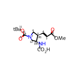 COC(=O)C=C[C@@H]1CN(C(=O)OC(C)(C)C)C[C@H]1NC(=O)O